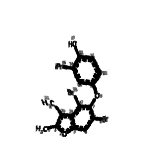 Cc1oc2cc(Br)c(Oc3ccc(O)c(C(C)C)c3)c(Br)c2c1C